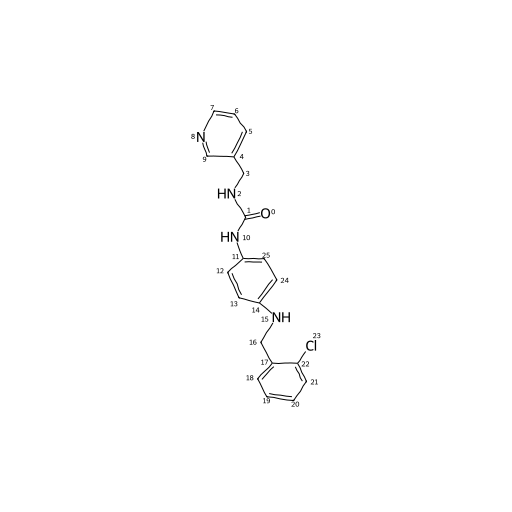 O=C(NCc1cccnc1)Nc1ccc(NCc2ccccc2Cl)cc1